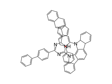 C1=CC2c3ccc4c5ccccc5n(C5=NC(c6ccc(-c7ccccc7)cc6)=NC(c6ccccc6)N5)c4c3N(C3=CC(c4ccc5ccccc5c4)=CCC3c3ccccc3)C2C=C1